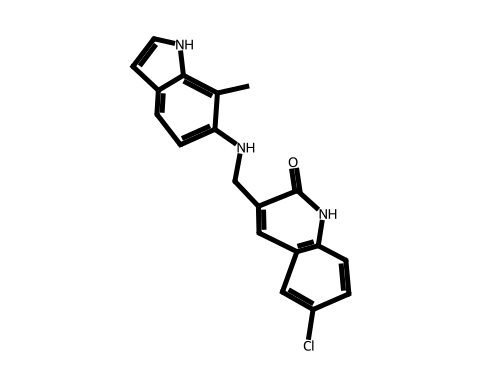 Cc1c(NCc2cc3cc(Cl)ccc3[nH]c2=O)ccc2cc[nH]c12